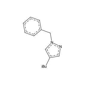 CCC(C)c1cnn(Cc2ccccc2)c1